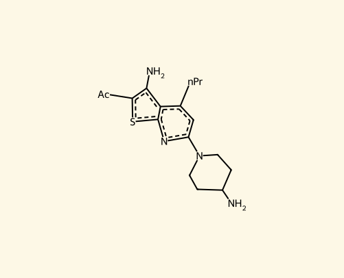 CCCc1cc(N2CCC(N)CC2)nc2sc(C(C)=O)c(N)c12